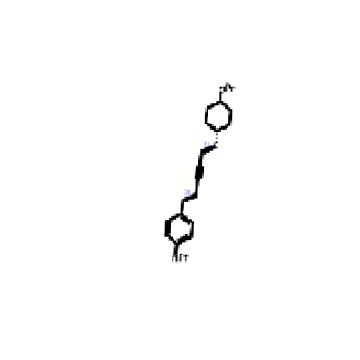 CCCc1ccc(/C=C/C#C/C=C/[C@H]2CC[C@H](CCC)CC2)cc1